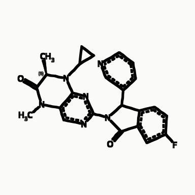 C[C@@H]1C(=O)N(C)c2cnc(N3C(=O)c4cc(F)ccc4C3c3cccnc3)nc2N1C1CC1